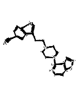 N#Cc1ccc2[nH]cc(CCN3CCN(c4nccc5sncc45)CC3)c2c1